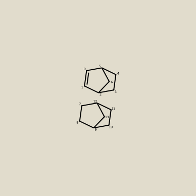 C1=CC2CCC1C2.C1CC2CCC1C2